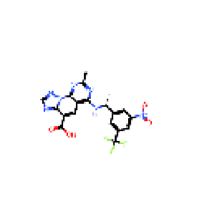 Cc1nc(N[C@H](C)c2cc([N+](=O)[O-])cc(C(F)(F)F)c2)c2cc(C(=O)O)c3ncnn3c2n1